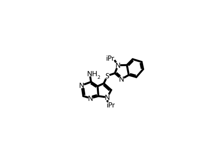 CC(C)n1cc(Sc2nc3ccccc3n2C(C)C)c2c(N)ncnc21